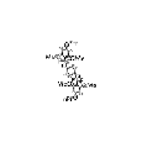 CCCOc1cc(OC)c(C(F)(F)Oc2ccc(OC(F)(F)c3c(OC)cc(OCCC)cc3OC)cc2)c(OC)c1